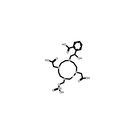 O=C(O)CN1CCN(CO[PH](=O)O)CCN(CC(=O)O)CCN(CC(O)c2ccccc2C(=O)O)CC1